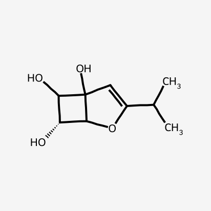 CC(C)C1=CC2(O)C(O)[C@@H](O)C2O1